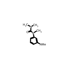 CNc1cccc(N(C)C(=O)N(C)C)c1